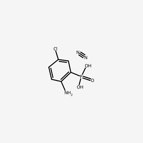 N#N.Nc1ccc(Cl)cc1P(=O)(O)O